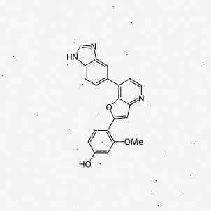 COc1cc(O)ccc1-c1cc2nccc(-c3ccc4[nH]cnc4c3)c2o1